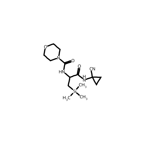 C[Si](C)(C)CC(NC(=O)N1CCOCC1)C(=O)NC1(C#N)CC1